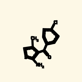 Cc1csc(N)c1C(=O)c1ccc(Cl)cc1